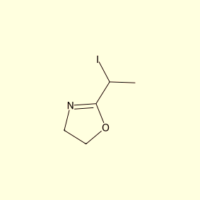 CC(I)C1=NCCO1